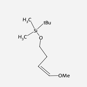 CO/C=C\CCO[Si](C)(C)C(C)(C)C